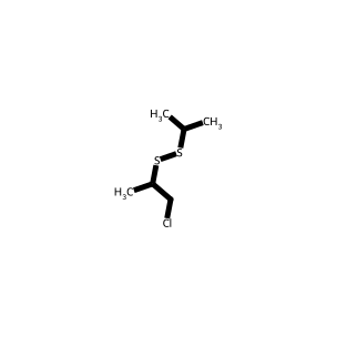 CC(C)SSC(C)CCl